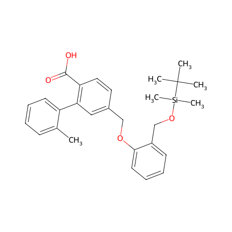 Cc1ccccc1-c1cc(COc2ccccc2CO[Si](C)(C)C(C)(C)C)ccc1C(=O)O